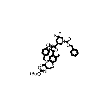 CC(C)(C)OC(=O)N[C@H]1CSc2cc(F)c(-c3nnc(C4CN(C(=O)OCc5ccccc5)CC(F)(F)C4)o3)cc2N(Cc2ccc(Cl)cc2)C1=O